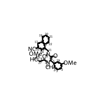 COc1cccc(C(C(=O)N(C)Cc2c(OC)c(C#N)cc3ccccc23)N(C)CCO)c1